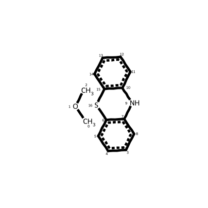 COC.c1ccc2c(c1)Nc1ccccc1S2